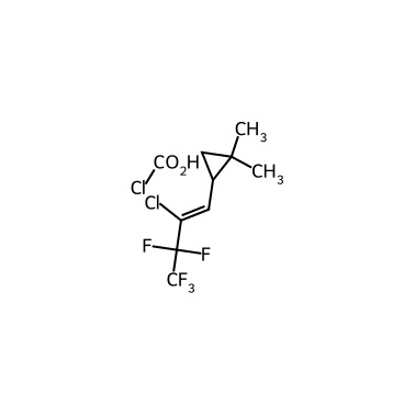 CC1(C)CC1C=C(Cl)C(F)(F)C(F)(F)F.O=C(O)Cl